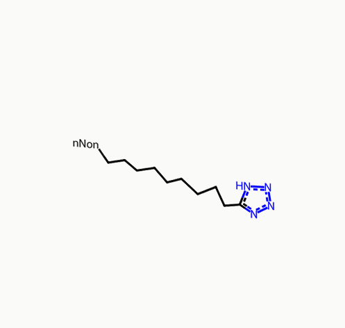 [CH2]CCCCCCCCCCCCCCCCCc1nnn[nH]1